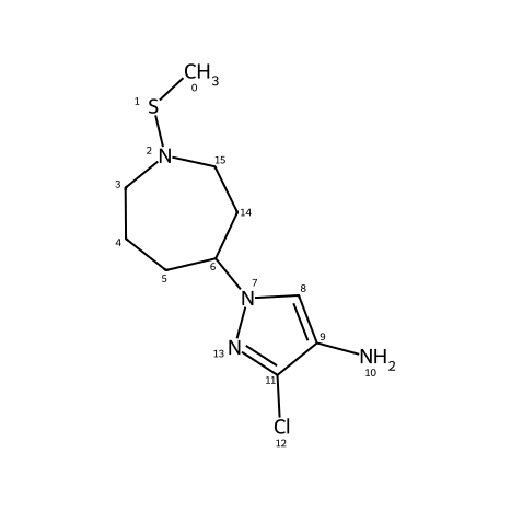 CSN1CCCC(n2cc(N)c(Cl)n2)CC1